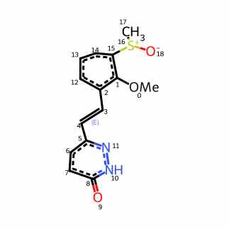 COc1c(/C=C/c2ccc(=O)[nH]n2)cccc1[S+](C)[O-]